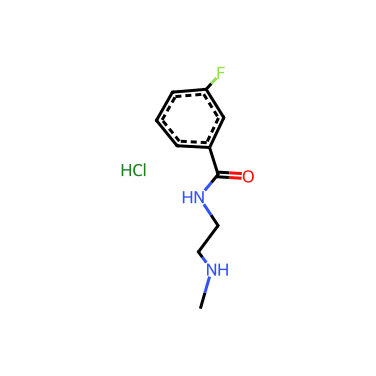 CNCCNC(=O)c1cccc(F)c1.Cl